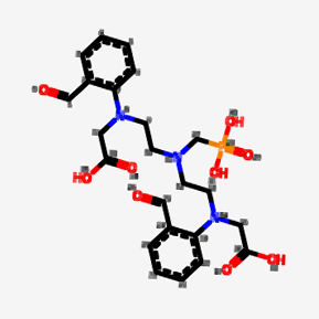 O=Cc1ccccc1N(CCN(CCN(CC(=O)O)c1ccccc1C=O)CP(=O)(O)O)CC(=O)O